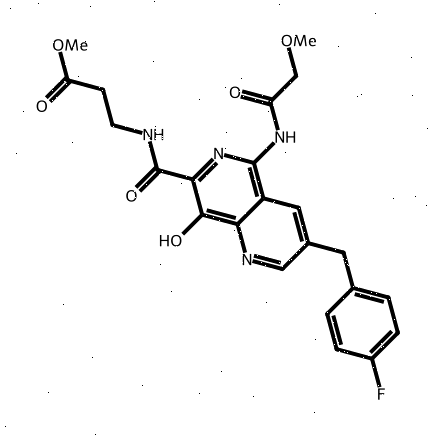 COCC(=O)Nc1nc(C(=O)NCCC(=O)OC)c(O)c2ncc(Cc3ccc(F)cc3)cc12